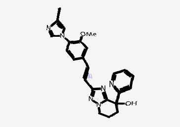 COc1cc(/C=C/c2nc3n(n2)CCCC3(O)c2ccccn2)ccc1-n1cnc(C)c1